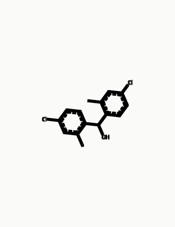 Cc1cc(Cl)ccc1C(O)c1ccc(Cl)cc1C